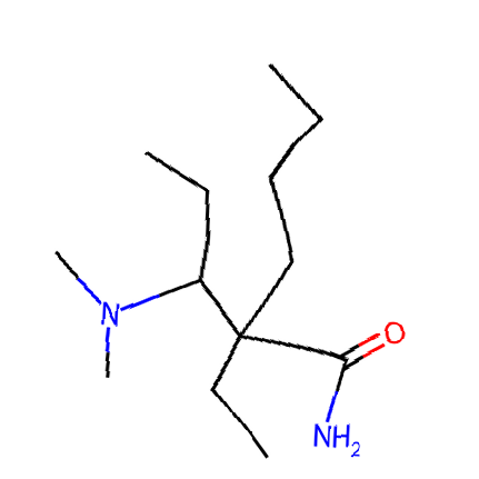 CCCCC(CC)(C(N)=O)C(CC)N(C)C